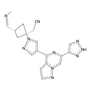 C/N=C\[C@H]1C[C@](CC#N)(n2cc(-c3nc(-c4cn[nH]n4)cn4nccc34)cn2)C1